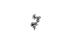 Cc1onc(-c2ccc(F)cc2)c1C(=O)NCCCN1CCN(c2ccccc2OCC(F)(F)F)CC1